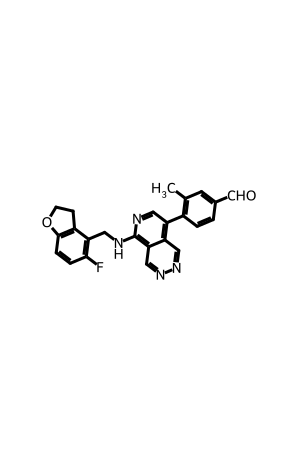 Cc1cc(C=O)ccc1-c1cnc(NCc2c(F)ccc3c2CCO3)c2cnncc12